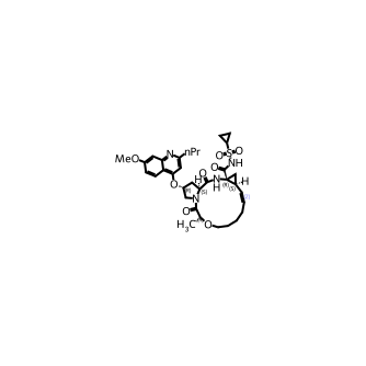 CCCc1cc(O[C@@H]2C[C@H]3C(=O)N[C@]4(C(=O)NS(=O)(=O)C5CC5)C[C@H]4/C=C\CCCCO[C@H](C)C(=O)N3C2)c2ccc(OC)cc2n1